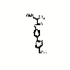 CCCCCCCCc1cnc(-c2ccc(OC(=O)C(C)COC)cc2)nc1